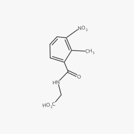 Cc1c(C(=O)NCC(=O)O)cccc1[N+](=O)[O-]